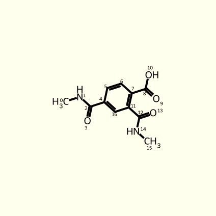 CNC(=O)c1ccc(C(=O)O)c(C(=O)NC)c1